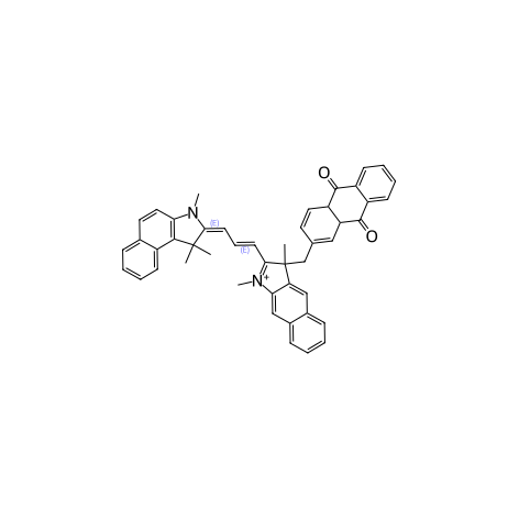 CN1/C(=C/C=C/C2=[N+](C)c3cc4ccccc4cc3C2(C)CC2=CC3C(=O)c4ccccc4C(=O)C3C=C2)C(C)(C)c2c1ccc1ccccc21